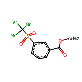 CCCCCCOC(=O)c1cccc(S(=O)(=O)C(Br)(Br)Br)c1